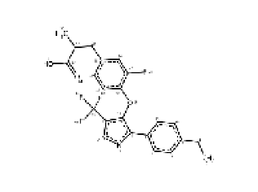 CCc1ccc(-c2nsc(C(F)(F)F)c2Oc2ccc(CC(C)C(=O)O)cc2F)cc1